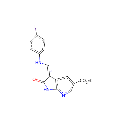 CCOC(=O)c1cnc2c(c1)/C(=C/Nc1ccc(I)cc1)C(=O)N2